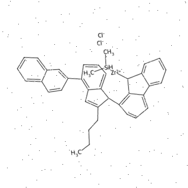 CCCCC1=Cc2c(-c3ccc4ccccc4c3)cccc2C1c1cccc2c1[CH]([Zr+2][SiH](C)C)c1ccccc1-2.[Cl-].[Cl-]